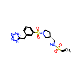 C=CS(=O)(=O)NC[C@H]1CCN(S(=O)(=O)c2cccc(Cc3nnn[nH]3)c2)C1